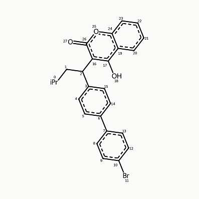 CC(C)CC(c1ccc(-c2ccc(Br)cc2)cc1)c1c(O)c2ccccc2oc1=O